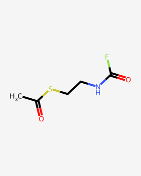 CC(=O)SCCNC(=O)F